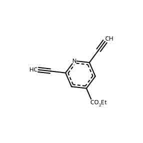 C#Cc1cc(C(=O)OCC)cc(C#C)n1